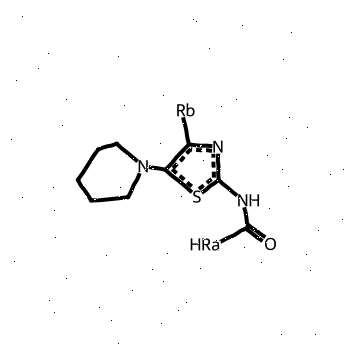 O=[C]([RaH])Nc1n[c]([Rb])c(N2CCCCC2)s1